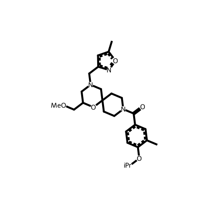 COCC1CN(Cc2cc(C)on2)CC2(CCN(C(=O)c3ccc(OC(C)C)c(C)c3)CC2)O1